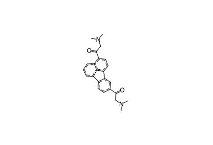 CN(C)CC(=O)c1ccc2c(c1)-c1ccc(C(=O)CN(C)C)c3cccc-2c13